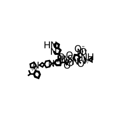 CC(C)c1ccccc1[C@H]1CCCN1C1CC2(CCN(c3ccc(C(=O)NS(=O)(=O)c4cc([N+](=O)[O-])c5c(n4)OC[C@H](C4CC4)N5)c(Oc4cnc5[nH]ccc5c4)c3)CC2)C1